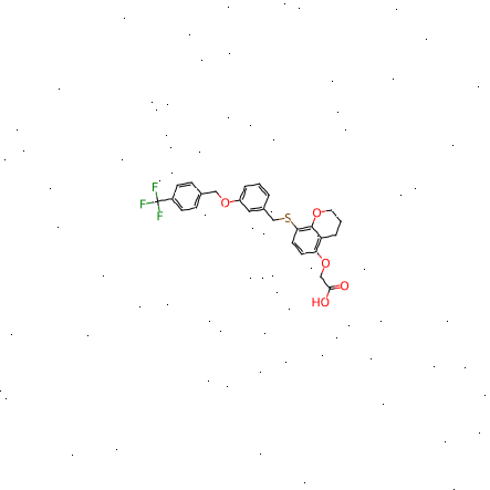 O=C(O)COc1ccc(SCc2cccc(OCc3ccc(C(F)(F)F)cc3)c2)c2c1CCCO2